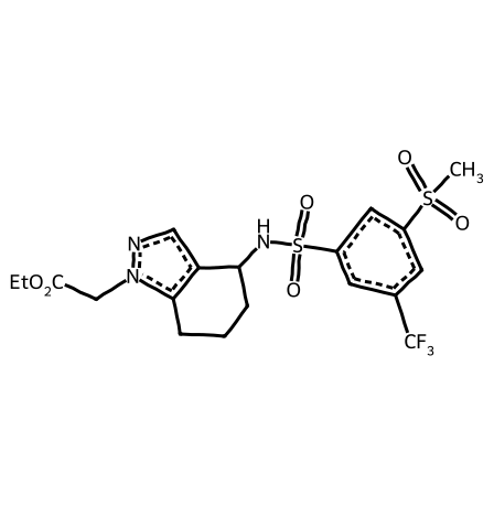 CCOC(=O)Cn1ncc2c1CCCC2NS(=O)(=O)c1cc(C(F)(F)F)cc(S(C)(=O)=O)c1